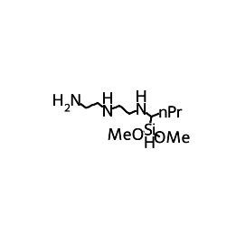 CCCC(NCCNCCN)[SiH](OC)OC